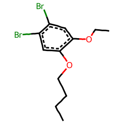 CCCCOc1cc(Br)c(Br)cc1OCC